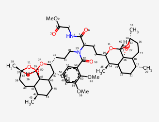 COC(=O)CNC(=O)C(CC[C@H]1O[C@@H]2O[C@]3(C)CCC4[C@H](C)CCC([C@H]1C)[C@]42OO3)N(CCC[C@H]1O[C@@H]2O[C@]3(C)CCC4[C@H](C)CCC([C@H]1C)[C@]42OO3)C(=O)c1cccc(OC)c1OC